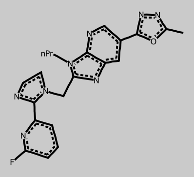 CCCn1c(Cn2ccnc2-c2cccc(F)n2)nc2cc(-c3nnc(C)o3)cnc21